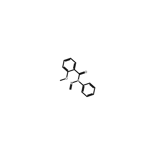 C=NN(C(=O)c1ccccc1OC)c1ccccc1